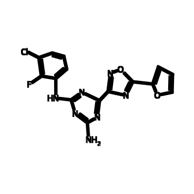 Nc1nc(Nc2cccc(Cl)c2F)nc(-c2noc(-c3ccco3)n2)n1